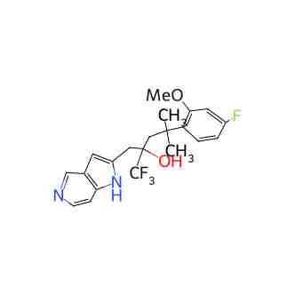 COc1cc(F)ccc1C(C)(C)CC(O)(Cc1cc2cnccc2[nH]1)C(F)(F)F